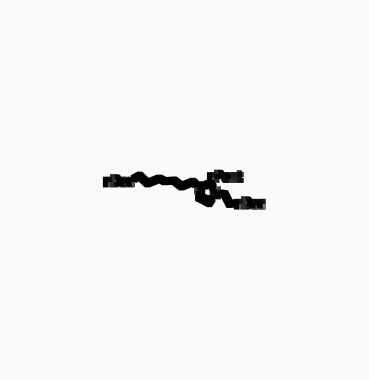 CCCCCCCCCCCCCCCCCN1C=CN(CCCCCCCCCCCC)C1CCCCC